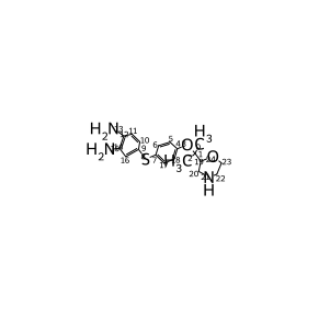 CC(C)(Oc1ccc(Sc2ccc(N)c(N)c2)cc1)C1CNCCO1